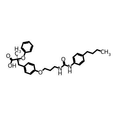 CCCCc1ccc(NC(=O)NCCCOc2ccc(C[C@](C)(Oc3ccccc3)C(=O)O)cc2)cc1